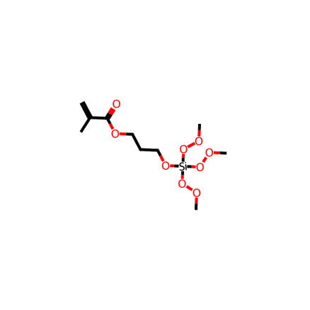 C=C(C)C(=O)OCCCO[Si](OOC)(OOC)OOC